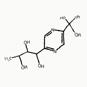 CCCC(O)(O)c1cnc(C(O)C(O)C(C)O)cn1